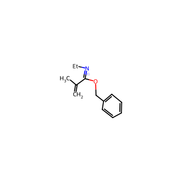 C=C(C)/C(=N\CC)OCc1ccccc1